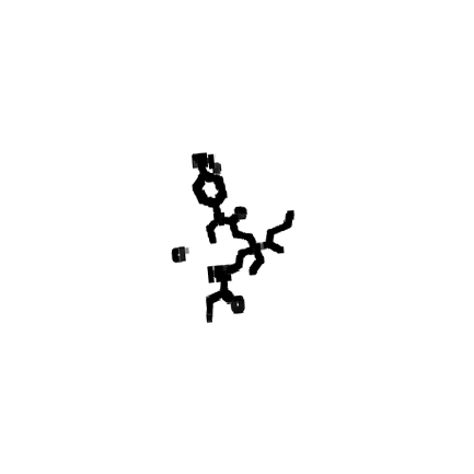 CCCC(C)[N+](CC)(CCNC(=O)CC)CCC(=O)N(CC)c1ccc(N)cc1.[Cl-]